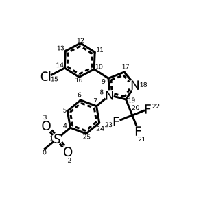 CS(=O)(=O)c1ccc(-n2c(-c3cccc(Cl)c3)cnc2C(F)(F)F)cc1